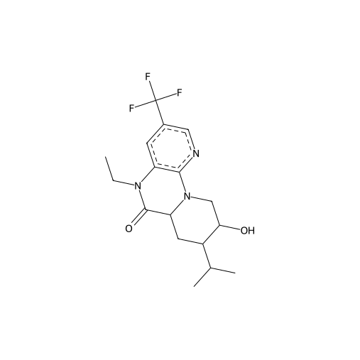 CCN1C(=O)C2CC(C(C)C)C(O)CN2c2ncc(C(F)(F)F)cc21